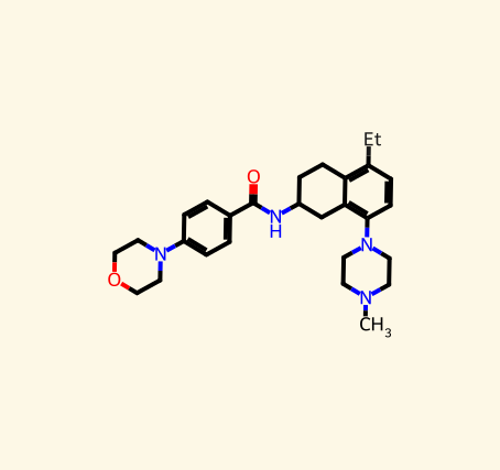 CCc1ccc(N2CCN(C)CC2)c2c1CCC(NC(=O)c1ccc(N3CCOCC3)cc1)C2